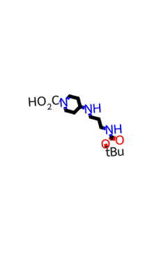 CC(C)(C)OC(=O)NCCCNC1CCN(C(=O)O)CC1